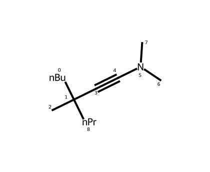 CCCCC(C)(C#CN(C)C)CCC